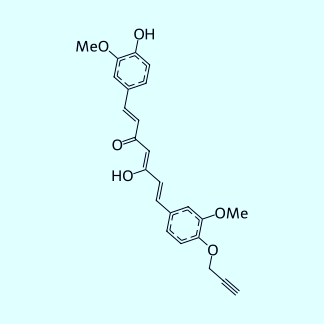 C#CCOc1ccc(C=CC(O)=CC(=O)C=Cc2ccc(O)c(OC)c2)cc1OC